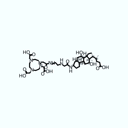 C[C@H](CCC(=O)O)[C@H]1CC[C@H]2[C@@H]3[C@H](O)C[C@@H]4C[C@@H](NC(=O)CNCCCNC(=O)CN5CCN(CC(=O)O)CCN(CC(=O)O)CCN5CC(=O)O)CC[C@]4(C)[C@H]3C[C@H](O)[C@]12C